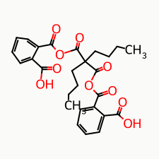 CCCCC(CCCC)(C(=O)OC(=O)c1ccccc1C(=O)O)C(=O)OC(=O)c1ccccc1C(=O)O